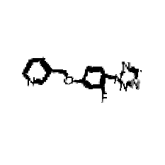 Fc1cc(OCc2cccnc2)ccc1-n1n[c]nn1